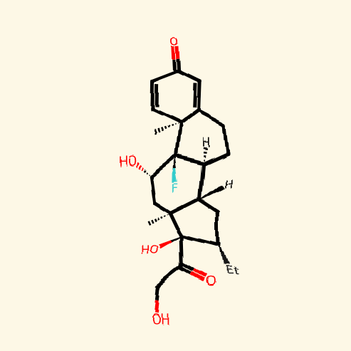 CC[C@@H]1C[C@H]2[C@@H]3CCC4=CC(=O)C=C[C@]4(C)[C@@]3(F)[C@@H](O)C[C@]2(C)[C@@]1(O)C(=O)CO